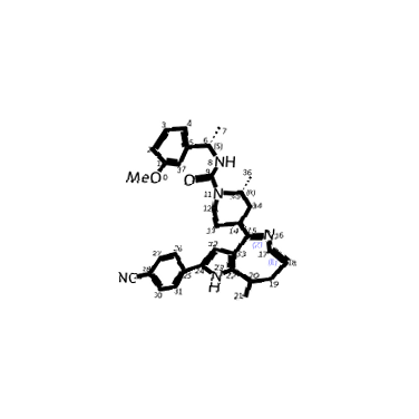 COc1cccc([C@H](C)NC(=O)N2CCC(/C3=N/C=C/CC(C)c4[nH]c(-c5ccc(C#N)cc5)cc43)C[C@H]2C)c1